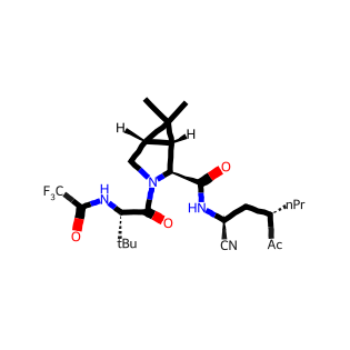 CCC[C@@H](C[C@@H](C#N)NC(=O)[C@@H]1[C@@H]2[C@H](CN1C(=O)[C@@H](NC(=O)C(F)(F)F)C(C)(C)C)C2(C)C)C(C)=O